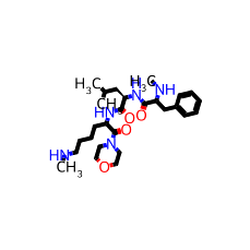 CNCCCCC(NC(=O)[C@@H](CC(C)C)NC(=O)C(Cc1ccccc1)NC)C(=O)N1CCOCC1